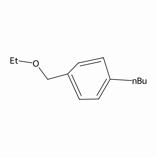 [CH2]COCc1ccc(CCCC)cc1